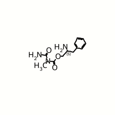 CN(C(N)=O)C(=O)OC[C@@H](N)Cc1ccccc1